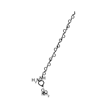 CCCOCCOCCOCCOCCOCCOCCOCCOCCOCCOCCOCCOCCOCCN/C1=C(\N)CCC2C(CC1)[C@@H]2COC(N)=O